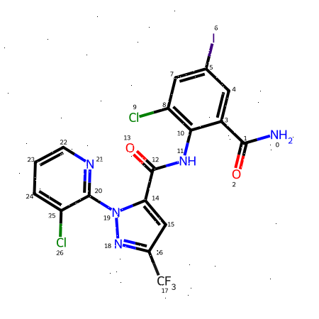 NC(=O)c1cc(I)cc(Cl)c1NC(=O)c1cc(C(F)(F)F)nn1-c1ncccc1Cl